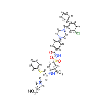 O=C(NS(=O)(=O)c1ccc(N[C@H](CCN2CC(C(=O)O)C2)CSc2ccccc2)c([N+](=O)[O-])c1)c1ccc(N2CCN(Cc3cc(Cl)ccc3-c3ccccc3)CC2)cc1